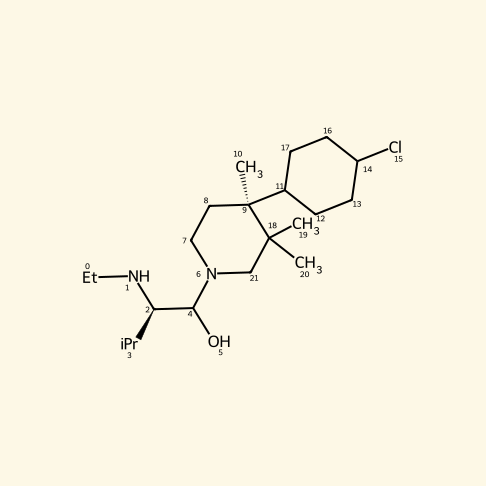 CCN[C@H](C(C)C)C(O)N1CC[C@@](C)(C2CCC(Cl)CC2)C(C)(C)C1